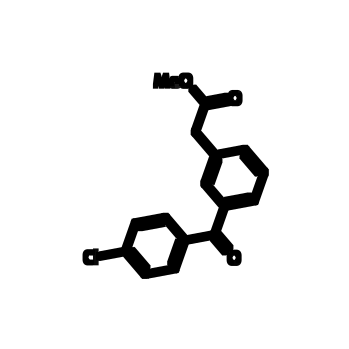 COC(=O)Cc1cccc(C(=O)c2ccc(Cl)cc2)c1